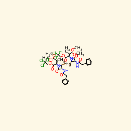 COC(OC)C(C)=C(C(=O)OCC(Cl)(Cl)Cl)N1C(=O)C(NC(=O)Cc2ccccc2)C1[S][Hg][S]C1C(NC(=O)Cc2ccccc2)C(=O)N1C(C(=O)OCC(Cl)(Cl)Cl)=C(C)C(OC)OC